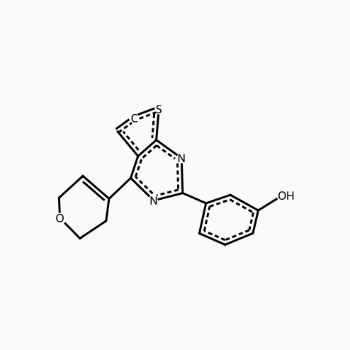 Oc1cccc(-c2nc(C3=CCOCC3)c3ccsc3n2)c1